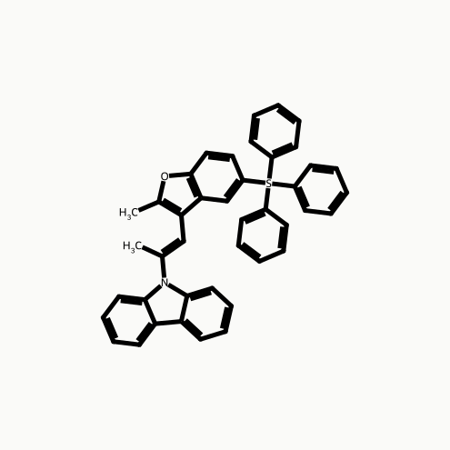 C/C(=C\c1c(C)oc2ccc(S(c3ccccc3)(c3ccccc3)c3ccccc3)cc12)n1c2ccccc2c2ccccc21